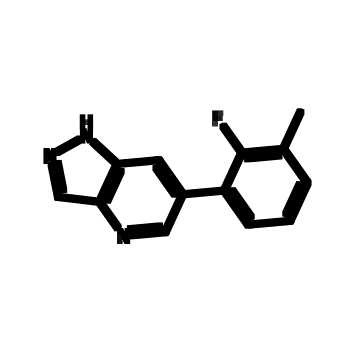 Cc1cccc(-c2cnc3cn[nH]c3c2)c1F